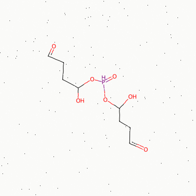 O=CCCC(O)O[PH](=O)OC(O)CCC=O